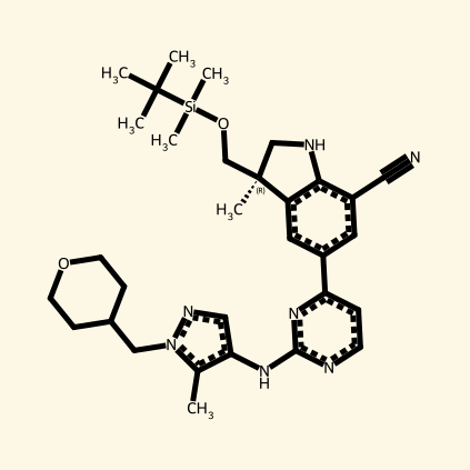 Cc1c(Nc2nccc(-c3cc(C#N)c4c(c3)[C@@](C)(CO[Si](C)(C)C(C)(C)C)CN4)n2)cnn1CC1CCOCC1